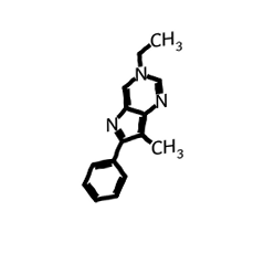 CCn1cnc2c(C)c(-c3ccccc3)nc-2c1